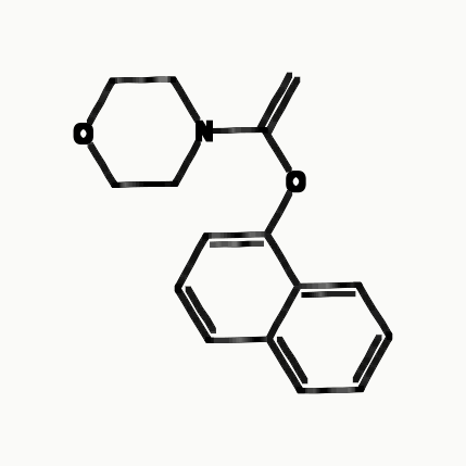 C=C(Oc1cccc2ccccc12)N1CCOCC1